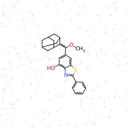 COC(=C1C2CC3CC(C2)CC1C3)c1cc(O)c2nc(-c3ccccc3)sc2c1